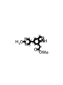 COC(=O)Cc1cc(-c2cnc(C)nc2)cc2cn[nH]c12